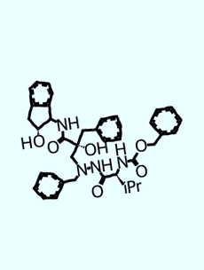 CC(C)[C@H](NC(=O)OCc1ccccc1)C(=O)NN(Cc1ccccc1)C[C@](O)(Cc1ccccc1)C(=O)NC1c2ccccc2C[C@H]1O